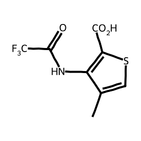 Cc1csc(C(=O)O)c1NC(=O)C(F)(F)F